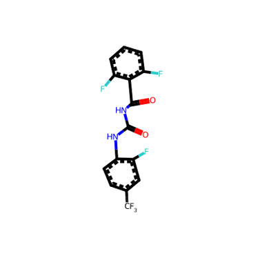 O=C(NC(=O)c1c(F)cccc1F)Nc1ccc(C(F)(F)F)cc1F